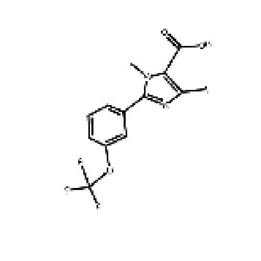 Cn1c(-c2cccc(OC(F)(F)F)c2)nc(I)c1C(=O)O